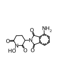 Nc1cccc2c1C(=O)N(C1CCC(=O)N(O)C1=O)C2=O